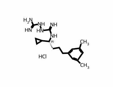 Cc1cc(C)cc(CCC[C@@H](NC(=N)NNC(=N)N)C2CC2)c1.Cl